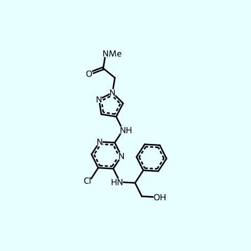 CNC(=O)Cn1cc(Nc2ncc(Cl)c(NC(CO)c3ccccc3)n2)cn1